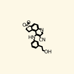 N#Cc1cnc2ccc3c(c2c1Nc1cccc(CCO)c1)CCS3(=O)=O